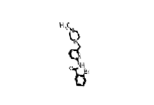 CN1CCN(Cc2cccc(NC(=O)c3ccccc3Br)n2)CC1